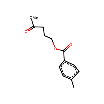 COC(=O)CCCOC(=O)c1ccc(C)cc1